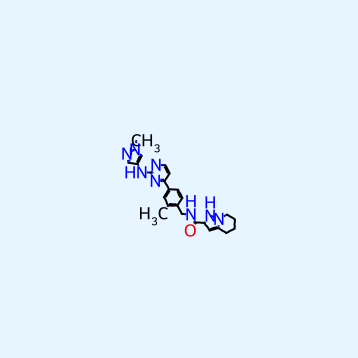 Cc1cc(-c2ccnc(Nc3cnn(C)c3)n2)ccc1CNC(=O)C1C=C2CCCCN2N1